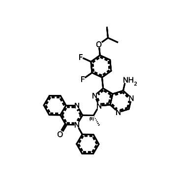 CC(C)Oc1ccc(-c2nn([C@H](C)c3nc4ccccc4c(=O)n3-c3ccccc3)c3ncnc(N)c23)c(F)c1F